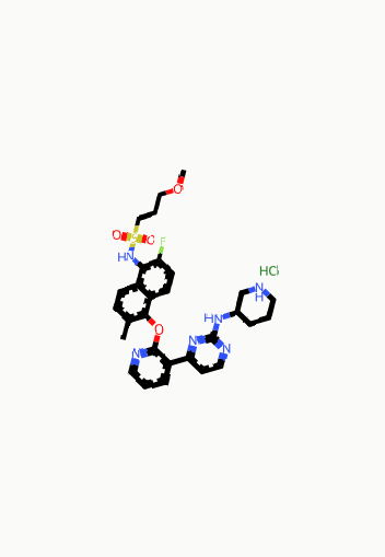 COCCCS(=O)(=O)Nc1c(F)ccc2c(Oc3ncccc3-c3ccnc(NC4CCCNC4)n3)c(C)ccc12.Cl